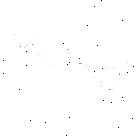 COc1cc(C=Cc2ccc(-n3ncc(C(=O)O)c3C)cc2)cc(OC)c1